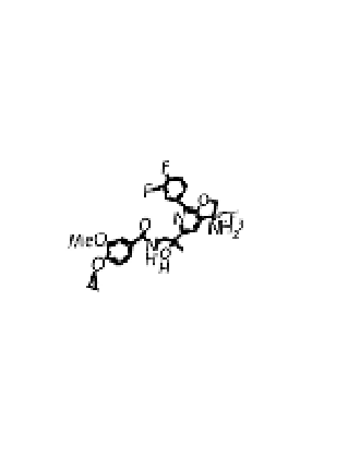 COc1cc(C(=O)NCC(C)(O)c2cc3c(c(-c4ccc(F)c(F)c4)n2)OC[C@@]3(N)C(F)(F)F)ccc1OC1CC1